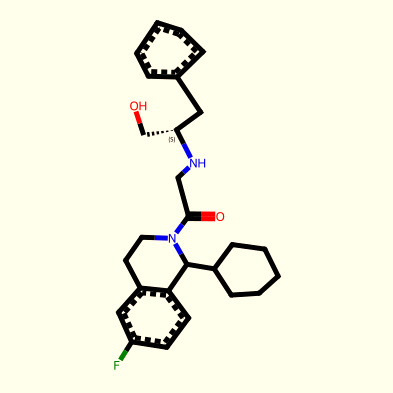 O=C(CN[C@H](CO)Cc1ccccc1)N1CCc2cc(F)ccc2C1C1CCCCC1